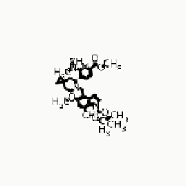 COC(=O)c1ccc([C@H]2CC3(CCN2Cc2c(OC)cc(C)c4c2ccn4C(=O)OC(C)(C)C)CC3)c(N(C)C)n1